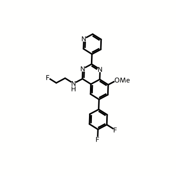 COc1cc(-c2ccc(F)c(F)c2)cc2c(NCCF)nc(-c3cccnc3)nc12